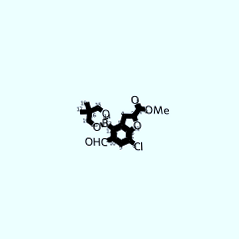 COC(=O)C1Cc2c(c(Cl)cc(C=O)c2B2OCC(C)(C)CO2)O1